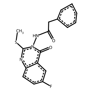 CSc1nc2ccc(F)cc2c(=O)n1NC(=O)Cc1ccccc1